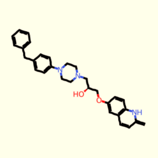 C=C1C=Cc2cc(OC[C@@H](O)CN3CCN(c4ccc(Cc5ccccc5)cc4)CC3)ccc2N1